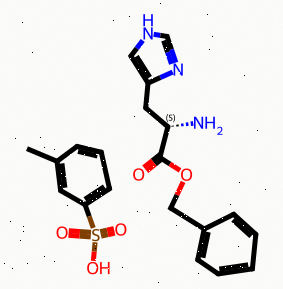 Cc1cccc(S(=O)(=O)O)c1.N[C@@H](Cc1c[nH]cn1)C(=O)OCc1ccccc1